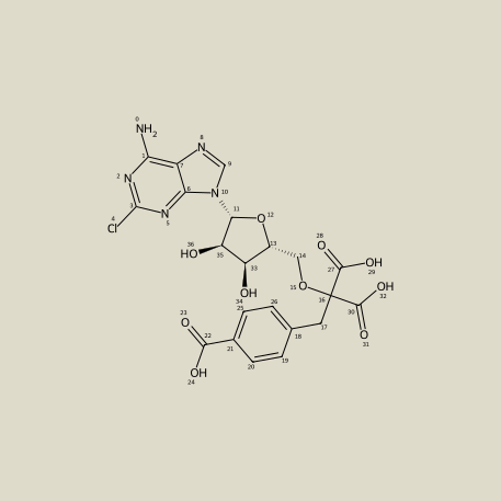 Nc1nc(Cl)nc2c1ncn2[C@@H]1O[C@H](COC(Cc2ccc(C(=O)O)cc2)(C(=O)O)C(=O)O)[C@@H](O)[C@H]1O